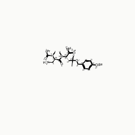 CCCC(=O)N(C)[C@H](CN)C(=O)N(C)[C@@H](CC(C)(C)OCc1ccc(OC)cc1)C(N)=O